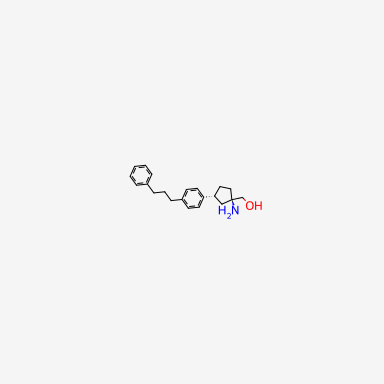 N[C@]1(CO)CC[C@@H](c2ccc(CCCc3ccccc3)cc2)C1